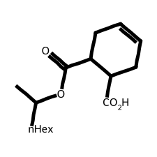 CCCCCCC(C)OC(=O)C1CC=CCC1C(=O)O